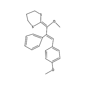 COC(=C1SCCCS1)/C(=C/c1ccc(OC)cc1)c1ccccc1